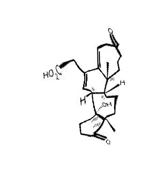 C[C@]12CCC(=O)C=C1C(CC(=O)O)=C[C@@H]1[C@H]2CC[C@]2(C)C(=O)CC[C@@]12O